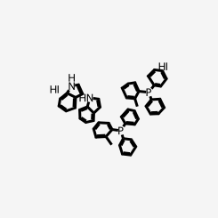 Cc1ccccc1P(c1ccccc1)c1ccccc1.Cc1ccccc1P(c1ccccc1)c1ccccc1.I.I.c1ccc2[nH]ccc2c1.c1ccc2[nH]ccc2c1